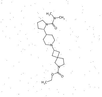 CCOC(=O)N1CCC2(CC(N3CCC(C4CCCN4C(=O)N(C)C)CC3)C2)C1